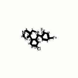 Fc1ccc(C2=NCc3cncnc3-c3ccc(Cl)cc32)c(F)c1